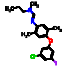 CCCN(C)/C=N/c1cc(C)c(Oc2cc(Cl)cc(I)c2)cc1C